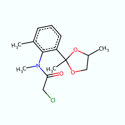 Cc1cccc(C2(C)OCC(C)O2)c1N(C)C(=O)CCl